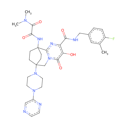 Cc1cc(CNC(=O)c2nc3n(c(=O)c2O)CC2(N4CCN(c5cnccn5)CC4)CCC3(NC(=O)C(=O)N(C)C)CC2)ccc1F